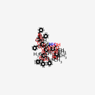 CC(=N)O[C@H]1OC(CO)[C@H](OC(C)=O)C(O[C@@H]2OC(C)[C@H](C)[C@@H]3OC(C)(C)OC23)[C@H]1O[C@@H]1OC(C)[C@H](O[C@@H]2OC[C@@H](C)C(O[C@@H]3OC[C@]4(COCc5ccccc5)O[C@@H](c5ccccc5)OC34)[C@H]2OCc2ccccc2)C(O[C@@H]2OC(COCc3ccccc3)[C@@H](OCc3ccccc3)C(OCc3ccccc3)[C@H]2C)[C@@H]1C